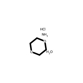 C1COCCO1.Cl.N.O